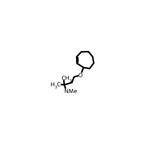 CNC(C)(C)CCOC1/C=C\CCCCC1